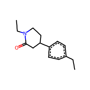 CCc1ccc(C2CCN(CC)C(=O)C2)cc1